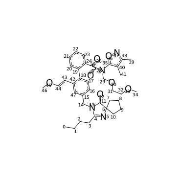 CCCCC1=NC2(CCCC2)C(=O)N1Cc1ccc(-c2ccccc2S(=O)(=O)N(COCCOC)c2onc(C)c2C)c(C=COC)c1